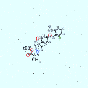 CC(CN1CCC2(CC1)COc1cc(OCc3c(F)cccc3C3CC3)ccc12)C(=O)OC(C)(C)C